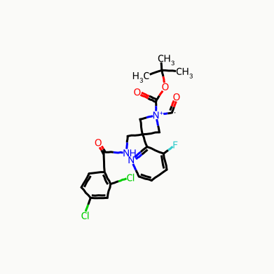 CC(C)(C)OC(=O)[N+]1([C]=O)CC(CNC(=O)c2ccc(Cl)cc2Cl)(c2ncccc2F)C1